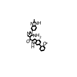 COc1ccccc1-c1ccc2cc(C(=O)c3cnn(-c4ccc5[nH]c(C)nc5c4)c3N)[nH]c2c1